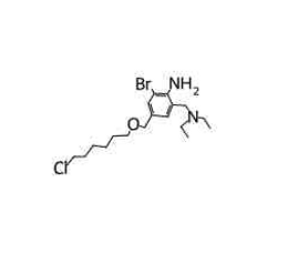 CCN(CC)Cc1cc(COCCCCCCCl)cc(Br)c1N